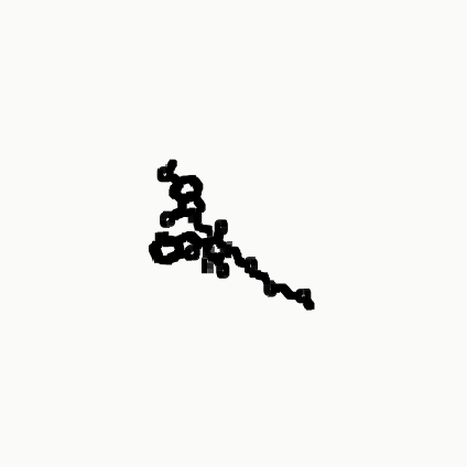 COCCOCCOCCN1C(=O)N[C@@](CCN2Cc3ccc(OC)cc3C2=O)(c2cc3ncccc3o2)C1=O